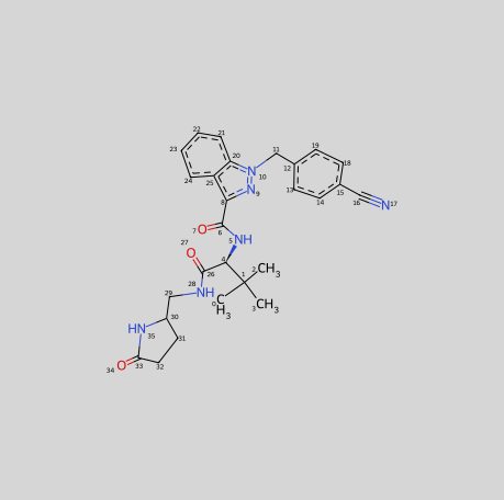 CC(C)(C)[C@H](NC(=O)c1nn(Cc2ccc(C#N)cc2)c2ccccc12)C(=O)NCC1CCC(=O)N1